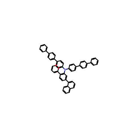 c1ccc(-c2ccc(-c3ccc(N(c4ccc(-c5ccc(-c6ccccc6)cc5)cc4)c4cc(-c5cccc6ccccc56)ccc4-c4ccccc4)cc3)cc2)cc1